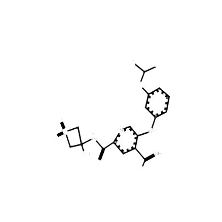 CC(C)C(=N)c1cc(C(=O)NC2(C)CS(=O)(=O)C2)ncc1Nc1cccc(OC(F)F)c1